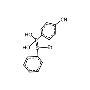 CCS(c1ccccc1)=P(O)(O)c1ccc(C#N)cc1